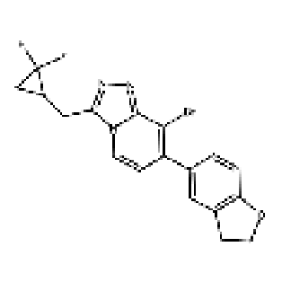 FC1(F)CC1Cc1nnc2c(Br)c(-c3ccc4c(c3)CCO4)ccn12